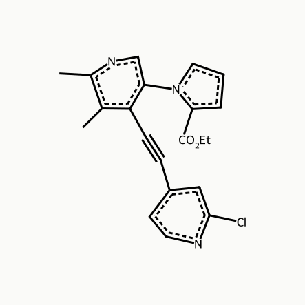 CCOC(=O)c1cccn1-c1cnc(C)c(C)c1C#Cc1ccnc(Cl)c1